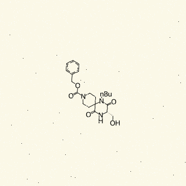 CCCCN1C(=O)[C@H](CO)NC(=O)C12CCN(C(=O)OCc1ccccc1)CC2